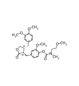 COCCN(C)C(=O)Oc1ccc(C[C@H]2C(=O)OC[C@@H]2Cc2ccc(OC)c(OC)c2)cc1OC